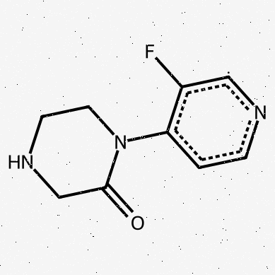 O=C1CNCCN1c1ccn[c]c1F